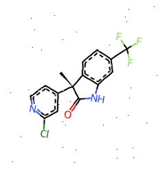 C[C@]1(c2ccnc(Cl)c2)C(=O)Nc2cc(C(F)(F)F)ccc21